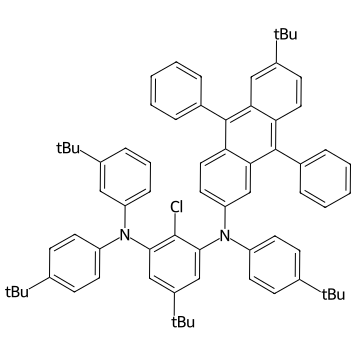 CC(C)(C)c1ccc(N(c2cccc(C(C)(C)C)c2)c2cc(C(C)(C)C)cc(N(c3ccc(C(C)(C)C)cc3)c3ccc4c(-c5ccccc5)c5cc(C(C)(C)C)ccc5c(-c5ccccc5)c4c3)c2Cl)cc1